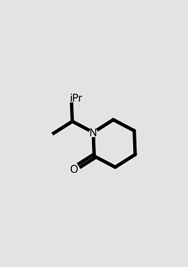 CC(C)C(C)N1CCCCC1=O